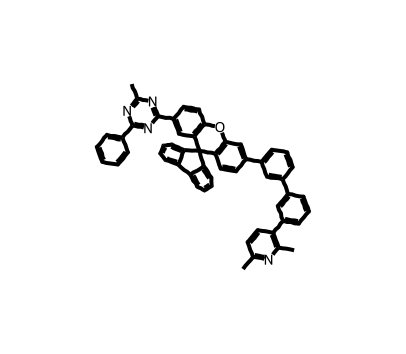 Cc1ccc(-c2cccc(-c3cccc(-c4ccc5c(c4)Oc4ccc(-c6nc(C)nc(-c7ccccc7)n6)cc4C54c5ccccc5-c5ccccc54)c3)c2)c(C)n1